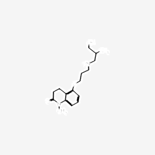 CC(CO)CNCCCOc1cccc2c1CCC(=O)N2C